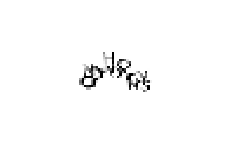 CSc1ncc(C(=O)ONc2cnc3ccccc3c2)cn1